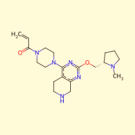 C=CC(=O)N1CCN(c2nc(OC[C@@H]3CCCN3C)nc3c2CCNC3)CC1